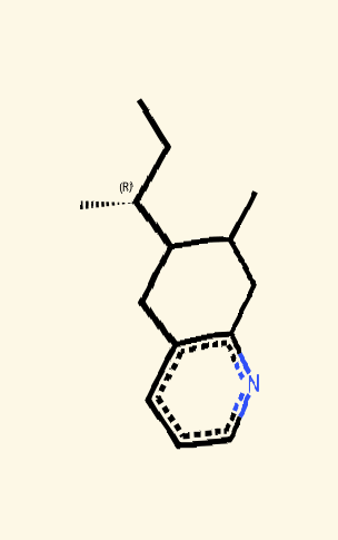 CC[C@@H](C)C1Cc2cccnc2CC1C